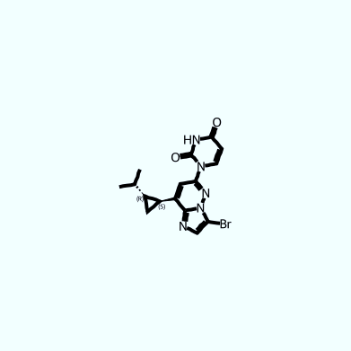 CC(C)[C@H]1C[C@@H]1c1cc(-n2ccc(=O)[nH]c2=O)nn2c(Br)cnc12